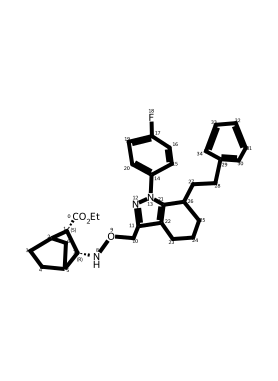 CCOC(=O)[C@H]1C2CCC(C2)[C@H]1NOCc1nn(-c2ccc(F)cc2)c2c1CCCC2CCc1ccccc1